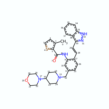 Cc1ccsc1C(=O)Nc1cc(CN2CCC(N3CCOCC3)CC2)ccc1/C=C/c1n[nH]c2ccccc12